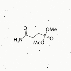 COP(=O)(CCC(N)=O)OC